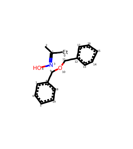 CCC(C)=NO.c1ccc(COCc2ccccc2)cc1